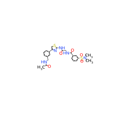 CC(=O)NCc1cccc(-c2csc(NC(=O)CNC(=O)c3cccc(S(=O)(=O)N(C)C)c3)n2)c1